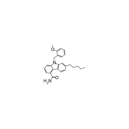 CCCCCc1c[c]c2c3c(C(N)=O)cccc3n(Cc3ccccc3OC)c2c1